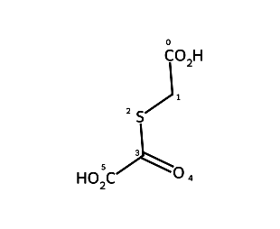 O=C(O)CSC(=O)C(=O)O